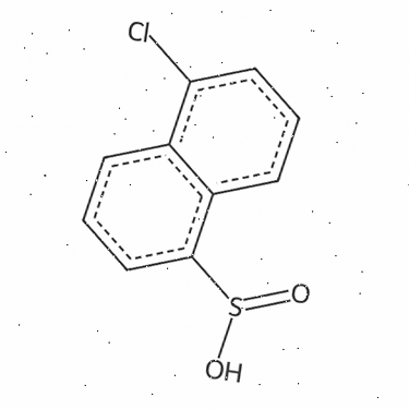 O=S(O)c1cccc2c(Cl)cccc12